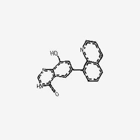 O=c1[nH]cnc2c(O)cc(-c3cccc4cccnc34)cc12